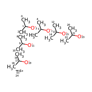 CC(C)[O-].CC(C)[O-].CC(C)[O-].CC(C)[O-].CC(C)[O-].CC(C)[O-].[Ti+6]